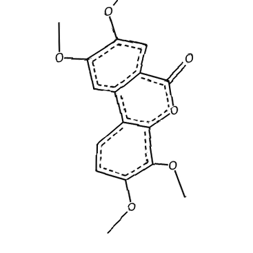 COc1cc2c(=O)oc3c(OC)c(OC)ccc3c2cc1OC